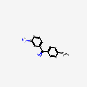 COc1ccc(C(=N)c2cccc(N)c2)cc1